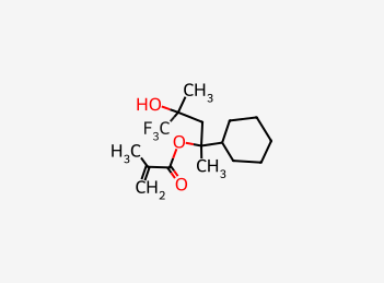 C=C(C)C(=O)OC(C)(CC(C)(O)C(F)(F)F)C1CCCCC1